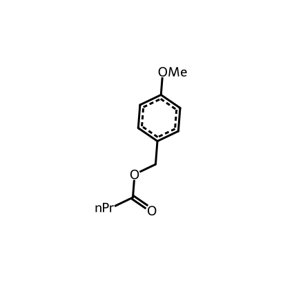 CCCC(=O)OCc1ccc(OC)cc1